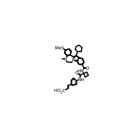 CSc1ccc2c(c1)N(C)CCn1c-2c(C2CCCCC2)c2ccc(C(=O)NC3(C(=O)Nc4ccc(/C=C/C(=O)O)cc4)CCC3)cc21